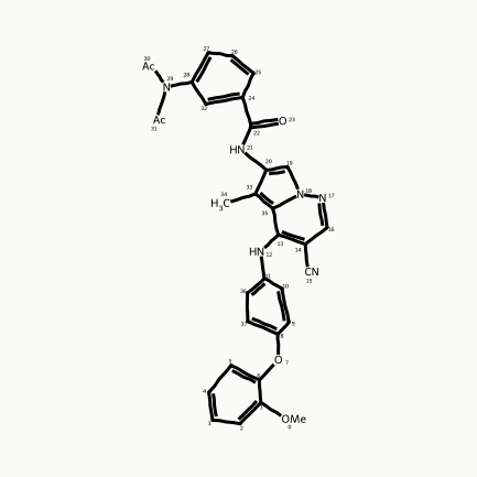 COc1ccccc1Oc1ccc(Nc2c(C#N)cnn3cc(NC(=O)c4cccc(N(C(C)=O)C(C)=O)c4)c(C)c23)cc1